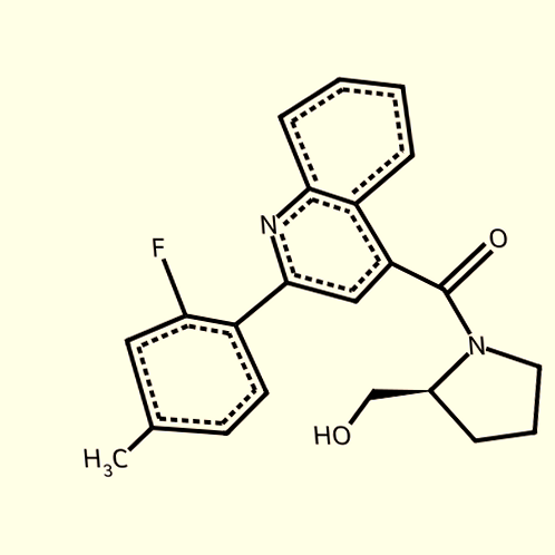 Cc1ccc(-c2cc(C(=O)N3CCC[C@H]3CO)c3ccccc3n2)c(F)c1